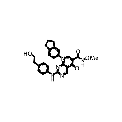 CONC(=O)c1cn(-c2ccc3c(c2)CCC3)c2nc(Nc3ccc(CCO)cc3)ncc2c1=O